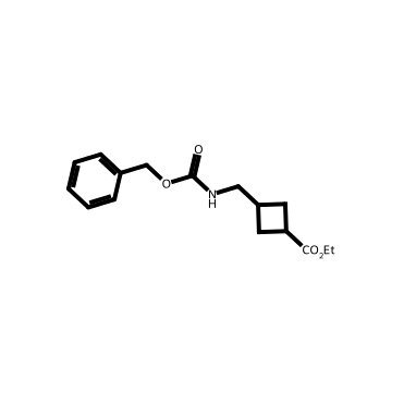 CCOC(=O)C1CC(CNC(=O)OCc2ccccc2)C1